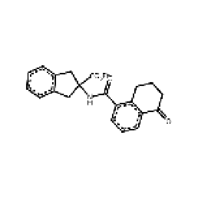 CCOC(=O)C1(NC(=O)c2cccc3c2CCCC3=O)Cc2ccccc2C1